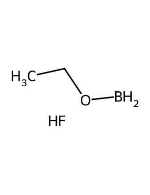 BOCC.F